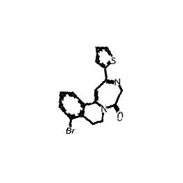 O=C1CN=C(c2cccs2)C=C2c3cccc(Br)c3CCN12